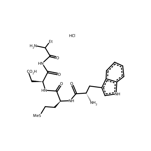 CCC(N)C(=O)NC(=O)[C@H](CC(=O)O)NC(=O)[C@H](CCSC)NC(=O)[C@@H](N)Cc1c[nH]c2ccccc12.Cl